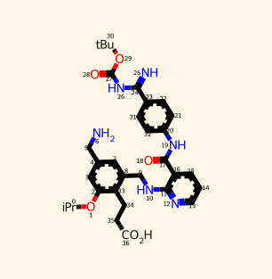 CC(C)Oc1cc(CN)cc(CNc2ncccc2C(=O)Nc2ccc(C(=N)NC(=O)OC(C)(C)C)cc2)c1CCC(=O)O